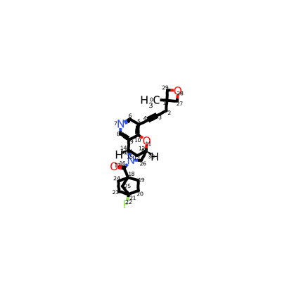 CC1(CC#Cc2cncc3c2O[C@H]2C[C@@H]3N(C(=O)C34CCC(F)(CC3)C4)C2)COC1